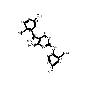 Fc1ccc(Oc2n[c]c3c(-c4cc(F)ccc4F)n[nH]c3n2)c(F)c1